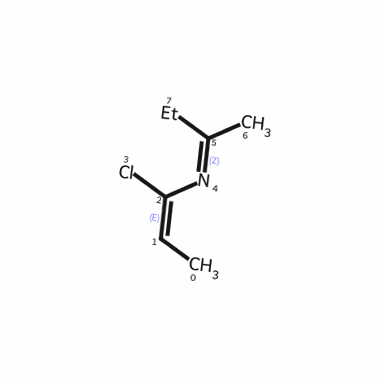 C/C=C(Cl)\N=C(\C)CC